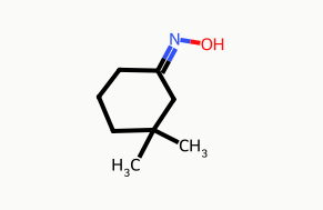 CC1(C)CCCC(=NO)C1